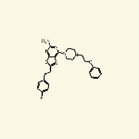 Nc1nc(N2CCN(CCOc3ccccc3)CC2)c2nc(CCc3ccc(F)cc3)oc2n1